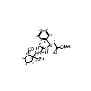 COC(=O)C[C@H](NC(=S)NCC1(C(C)(C)C)CCCN1C(=O)O)c1ccccc1